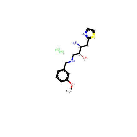 COc1cccc(CNC[C@@H](O)[C@@H](N)Cc2nccs2)c1.Cl.Cl